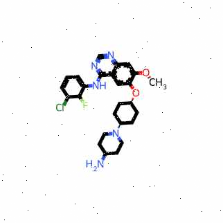 COc1cc2ncnc(NC3=CC=CC(Cl)C3F)c2cc1O[C@H]1CC[C@@H](N2CCC(N)CC2)CC1